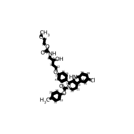 COCCOC(=O)NCC(O)CCOc1ccc([C@H]2C3=C(CCN2C(=O)Oc2ccc(C)cc2)C2C=C(Cl)C=CC2N3)cc1